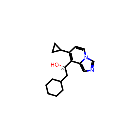 O[C@@H](CC1CCCCC1)c1c(C2CC2)ccn2cncc12